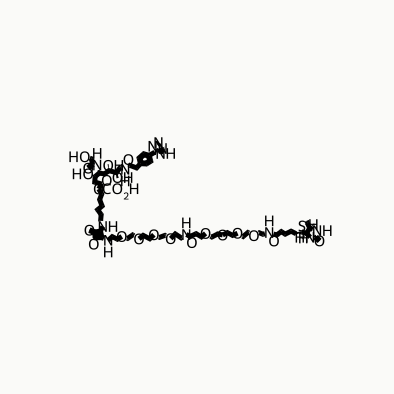 O=C(CCCC[C@H]1SC[C@H]2NC(=O)N[C@H]21)NCCOCCOCCOCCOCCC(=O)NCCOCCOCCOCCOCCNc1c(NCCCCCCO[C@]2(C(=O)O)C[C@H](O)[C@@H](NC(=O)CO)[C@H]([C@H](O)[C@H](O)CNC(=O)Cc3ccc(-c4nnn[nH]4)cc3)O2)c(=O)c1=O